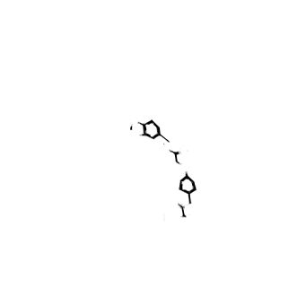 CO[C@@H](Cc1ccc(OCC(=O)NCc2ccc3c(c2)OCO3)cc1)C(=O)O